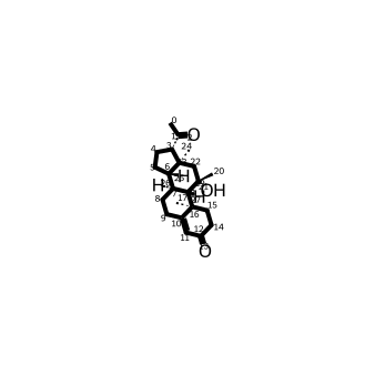 CC(=O)[C@H]1CC[C@H]2[C@@H]3CCC4=CC(=O)CC[C@]4(C)[C@H]3[C@@](C)(O)C[C@]12C